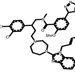 CC=CCn1c(N2CCCN(CCC(CN(C)C(=O)c3cc(C4C=NN=N4)ccc3OC)c3ccc(Cl)c(Cl)c3)CC2)nc2ccccc21